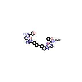 COC(=O)N[C@@H](C(=O)N1CCC[C@H]1c1nc2c([nH]1)-c1ccc(-c3ccc4cc(C5=CNC([C@@H]6CCCN6C(=O)[C@@H](N)C6CCOCC6)N5)ccc4c3)cc1CC2)c1ccccc1